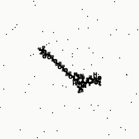 CCS(=O)(=O)Nc1ccc(-c2nn(C(C)(C)C)c(Nc3ccnc(OCCOCCOCCOCCOCC(=O)OC(C)(C)C)c3)c2C#N)cc1